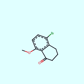 COc1ccc(Br)c2c1C(=O)CCC2